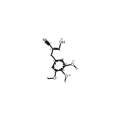 COc1cc(CC(C#N)=CO)cc(OC)c1OC